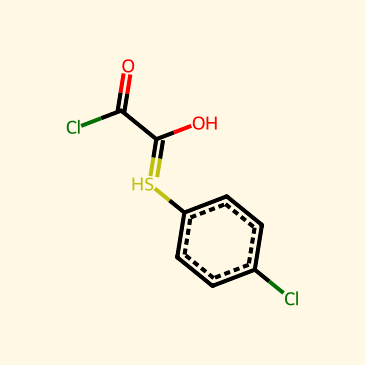 O=C(Cl)C(O)=[SH]c1ccc(Cl)cc1